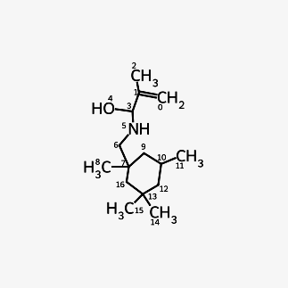 C=C(C)C(O)NCC1(C)CC(C)CC(C)(C)C1